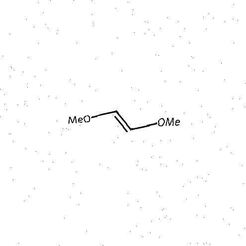 COC=COC